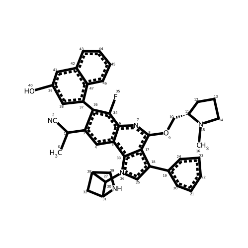 CC(C#N)c1cc2c(nc(OC[C@@H]3CCCN3C)c3c(-c4ccccc4)cn(C4C5CNC4C5)c32)c(F)c1-c1cc(O)cc2ccccc12